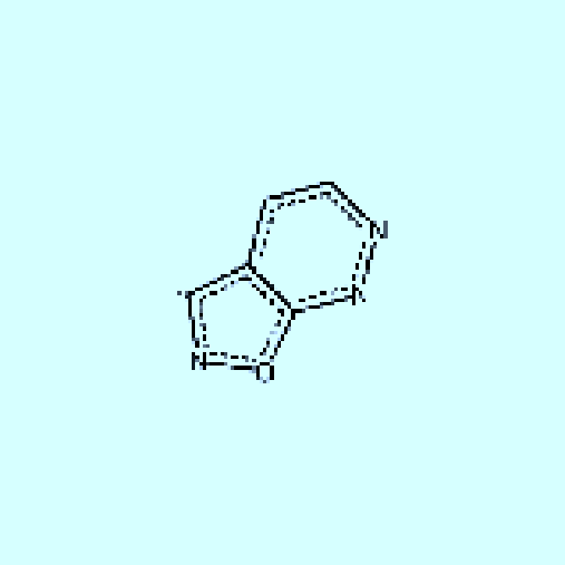 [c]1noc2nnccc12